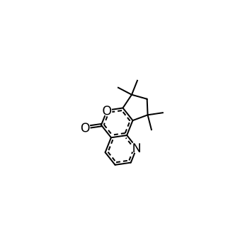 CC1(C)CC(C)(C)c2c1oc(=O)c1cccnc21